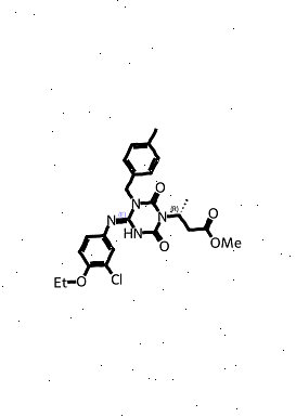 CCOc1ccc(/N=c2\[nH]c(=O)n([C@H](C)CC(=O)OC)c(=O)n2Cc2ccc(C)cc2)cc1Cl